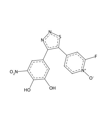 O=[N+]([O-])c1cc(-c2nnsc2-c2cc[n+]([O-])c(F)c2)cc(O)c1O